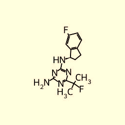 CC(C)(F)c1nc(N)nc(N[C@@H]2CCc3ccc(F)cc32)n1